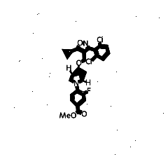 COC(=O)c1ccc(N2C[C@H]3C[C@@H]2C[C@@H]3OCc2c(-c3c(Cl)cccc3Cl)noc2C2CC2)c(F)c1